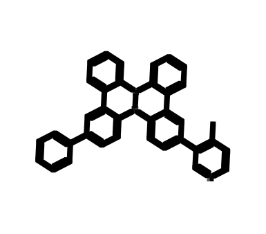 Cc1ccncc1-c1ccc2c(c1)-c1ccccc1B1c3ccccc3-c3cc(-c4ccccc4)ccc3N12